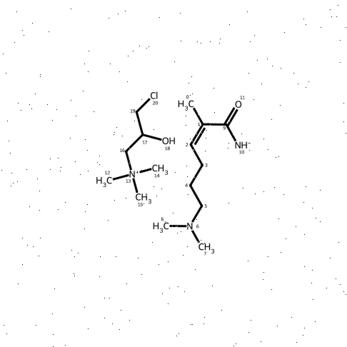 CC(=CCCCN(C)C)C([NH-])=O.C[N+](C)(C)CC(O)CCl